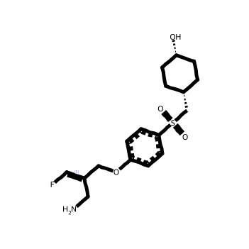 NC/C(=C\F)COc1ccc(S(=O)(=O)C[C@H]2CC[C@@H](O)CC2)cc1